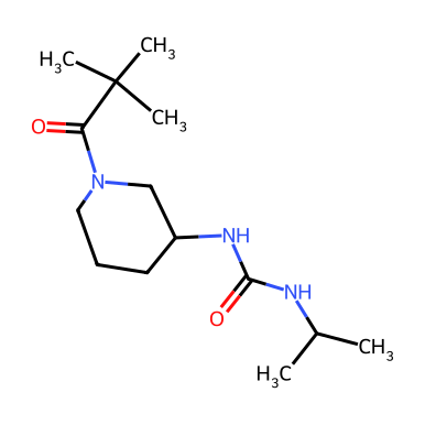 CC(C)NC(=O)NC1CCCN(C(=O)C(C)(C)C)C1